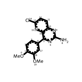 COc1ccc(-c2nc(N)nc3ccc(Cl)nc23)cc1OC